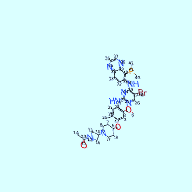 COc1cc(OC2CCN(C3CN(C(C)=O)C3)CC2)c(C)cc1Nc1ncc(Br)c(Nc2ccc3nccnc3c2P(C)C)n1